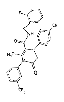 CC1=C(C(=O)NCc2ccccc2F)C(c2ccc(C#N)cc2)CC(=O)N1c1cccc(C(F)(F)F)c1